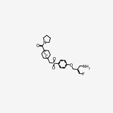 NC/C(=C\F)COc1ccc(S(=O)(=O)CC23CCC(C(=O)N4CCCC4)(CC2)CC3)cc1